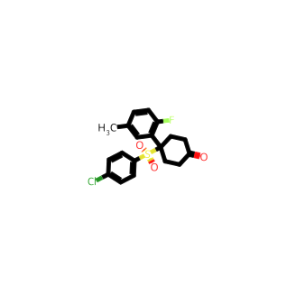 Cc1ccc(F)c(C2(S(=O)(=O)c3ccc(Cl)cc3)CCC(=O)CC2)c1